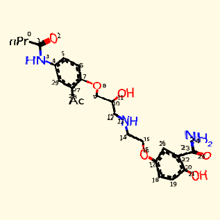 CCCC(=O)Nc1ccc(OCC(O)CNCCOc2ccc(O)c(C(N)=O)c2)c(C(C)=O)c1